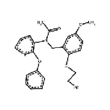 COc1ccc(OCC[16F])c(CN(C(C)=O)c2cccnc2Oc2ccccc2)c1